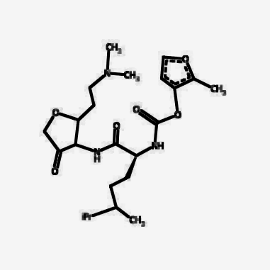 Cc1occc1OC(=O)N[C@@H](CCC(C)C(C)C)C(=O)NC1C(=O)COC1CCN(C)C